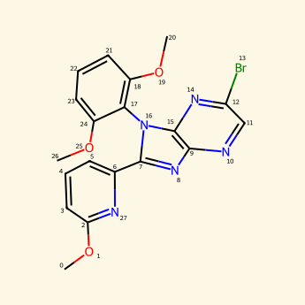 COc1cccc(-c2nc3ncc(Br)nc3n2-c2c(OC)cccc2OC)n1